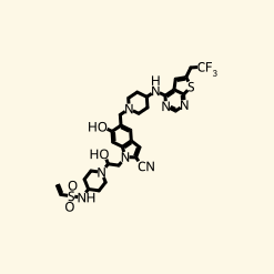 C=CS(=O)(=O)NC1CCN(C(O)Cn2c(C#N)cc3cc(CN4CCC(Nc5ncnc6sc(CC(F)(F)F)cc56)CC4)c(O)cc32)CC1